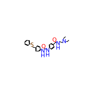 CCN(CC)CCNC(=O)c1ccc(NC(=O)Nc2ccc(CSc3ccccc3)cc2)cc1